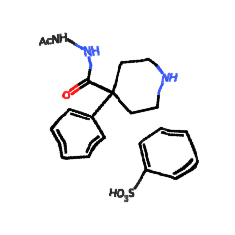 CC(=O)NNC(=O)C1(c2ccccc2)CCNCC1.O=S(=O)(O)c1ccccc1